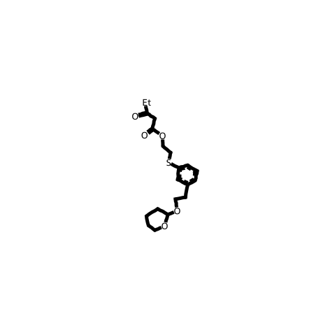 CCC(=O)CC(=O)OCCSc1cccc(CCOC2CCCCO2)c1